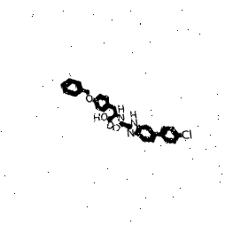 O=C(NC(Cc1ccc(OCc2ccccc2)cc1)C(=O)O)c1nc2ccc(-c3ccc(Cl)cc3)cc2[nH]1